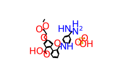 CCOC(=O)COc1ccc(-c2ccccc2C(=O)Nc2ccc(C(=N)N)cc2)c(C(=O)O)c1.CS(=O)(=O)O